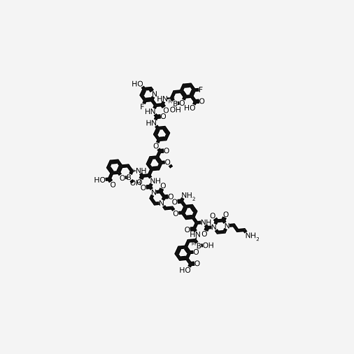 COc1cc(C(NC(=O)N2CCN(CCOc3cc(C(NC(=O)N4CCN(CCCN)C(=O)C4=O)C(=O)N[C@H]4Cc5cccc(C(=O)O)c5OB4O)ccc3C(N)=O)C(=O)C2=O)C(=O)N[C@H]2Cc3cccc(C(=O)O)c3OB2O)ccc1C(=O)Oc1cccc(NC(=O)NC(C(=O)N[C@H]2Cc3ccc(F)c(C(=O)O)c3OB2O)c2ncc(O)cc2F)c1